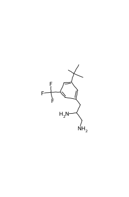 CC(C)(C)c1cc(CC(N)CN)cc(C(F)(F)F)c1